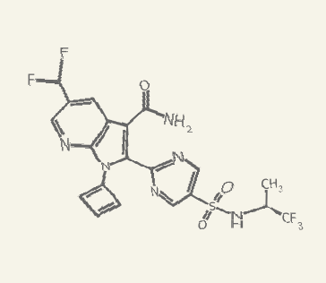 C[C@H](NS(=O)(=O)c1cnc(-c2c(C(N)=O)c3cc(C(F)F)cnc3n2C2=CC=C2)nc1)C(F)(F)F